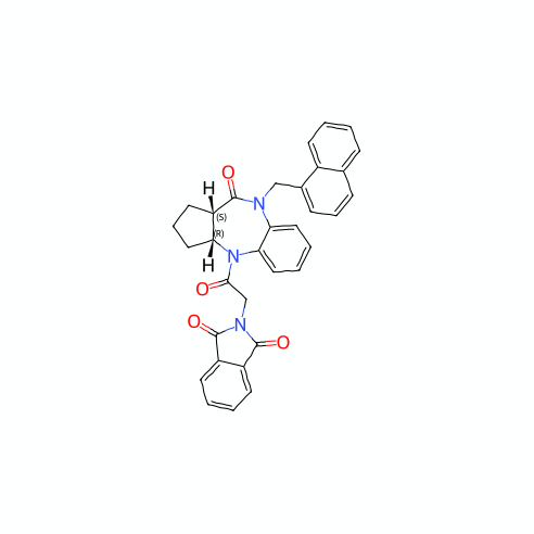 O=C1c2ccccc2C(=O)N1CC(=O)N1c2ccccc2N(Cc2cccc3ccccc23)C(=O)[C@H]2CCC[C@H]21